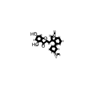 CN(C)c1cccc(-c2cccc3c2c(/C=C2\Oc4cc(O)cc(O)c4C2=O)cn3C)c1